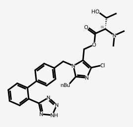 CCCCc1nc(Cl)c(COC(=O)[C@H](C(C)O)N(C)C)n1Cc1ccc(-c2ccccc2-c2nn[nH]n2)cc1